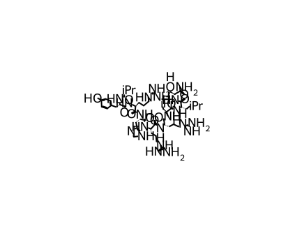 CC(C)C[C@H](NC(=O)[C@H](CC(C)C)NC(=O)[C@H](CCCNC(=N)N)NC(=O)[C@H](CCCNC(=N)N)NC(=O)[C@H](Cc1c[nH]cn1)NC(=O)[C@H](CCCNC(=N)N)NC(=O)[C@H](Cc1ccc(O)cc1)NC(=O)C(C)C)C(=O)N[C@@H](CO)C(N)=O